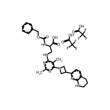 Cc1nc(NCC(NC(=O)OCc2ccccc2)C(=O)O)c(C)c(N2CC(c3ccc4c(n3)NCCC4)C2)n1.O=C(O)C(F)(F)F.O=C(O)C(F)(F)F